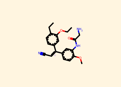 CCOc1cc(/C(=C\C#N)c2ccc(OC)c(NC(=O)CN)c2)ccc1CC